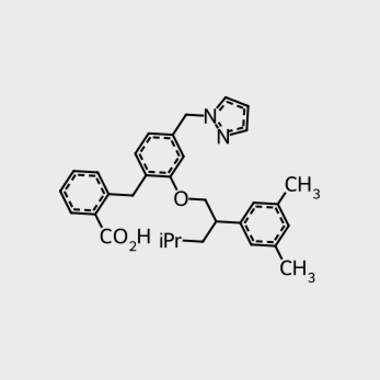 Cc1cc(C)cc(C(COc2cc(Cn3cccn3)ccc2Cc2ccccc2C(=O)O)CC(C)C)c1